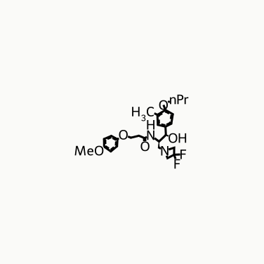 CCCOc1ccc([C@@H](O)[C@@H](CN2CC(F)(F)C2)NC(=O)CCOc2ccc(OC)cc2)cc1C